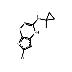 CC1(NC2=NSc3sc(Cl)cc3N2)CC1